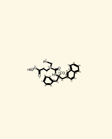 CCCCOC(=O)CCN(CC(C)C)C(=O)N[C@@](Cc1ccccc1)(Cc1ccc2ccccc2c1)C(=O)O